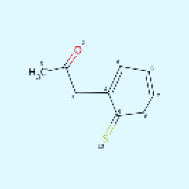 CC(=O)CC1=CC=CCC1=S